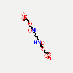 O=C(CCOCC=C1COC(=O)O1)NCCCCCCNC(=O)CCOCC=C1COC(=O)O1